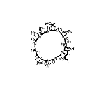 C/C=C/C[C@@H](C)[C@@H](O)[C@H]1C(=O)N[C@@H](CC)C(=O)N(C)[C@H](CSCCC)C(=O)N(C)[C@@H](CC(C)(C)O)C(=O)N[C@@H](C(C)C)C(=O)N(C)[C@@H](CC(C)C)C(=O)N[C@@H](C)C(=O)N[C@H](C)C(=O)N(C)[C@@H](CC(C)C)C(=O)N(C)[C@@H](CC(C)C)C(=O)N(C)[C@@H](C(C)C)C(=O)N1C